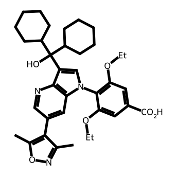 CCOc1cc(C(=O)O)cc(OCC)c1-n1cc(C(O)(C2CCCCC2)C2CCCCC2)c2ncc(-c3c(C)noc3C)cc21